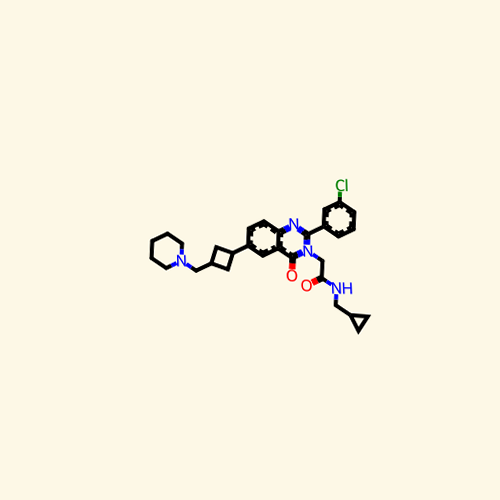 O=C(Cn1c(-c2cccc(Cl)c2)nc2ccc(C3CC(CN4CCCCC4)C3)cc2c1=O)NCC1CC1